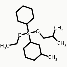 CCO[Si](OCC(C)C)(C1CCCCC1)C1CCCC(C)C1